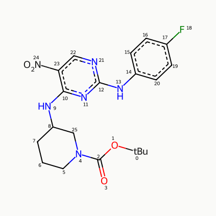 CC(C)(C)OC(=O)N1CCCC(Nc2nc(Nc3ccc(F)cc3)ncc2[N+](=O)[O-])C1